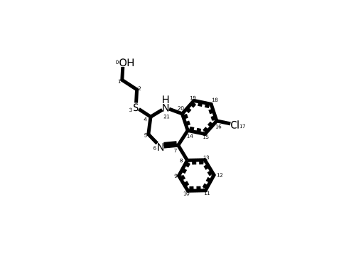 OCCSC1CN=C(c2ccccc2)c2cc(Cl)ccc2N1